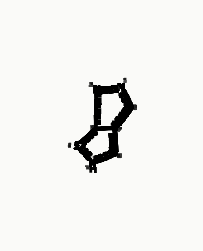 c1nnc2s[nH]cc1-2